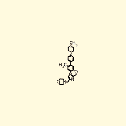 Cc1cc2c(cc1-c1ccc(N3CCN(C)CC3)cc1)OCc1nc(CN3CCOCC3)cn1-2